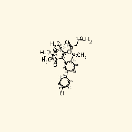 C=CCC(=O)OC1=C(c2cc(-c3ccc(Cl)cc3)ccc2CC)C(=O)C(C)(C)OC1(C)C